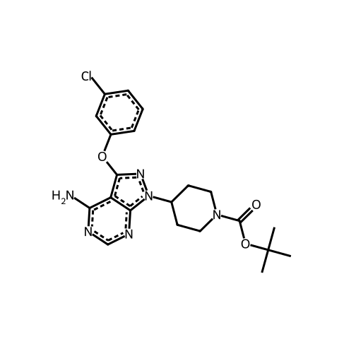 CC(C)(C)OC(=O)N1CCC(n2nc(Oc3cccc(Cl)c3)c3c(N)ncnc32)CC1